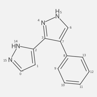 [c]1cc(-c2n[nH]cc2-c2ccccc2)[nH]n1